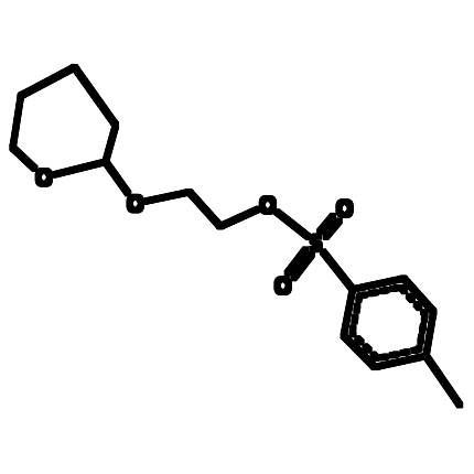 Cc1ccc(S(=O)(=O)OCCOC2CCCCO2)cc1